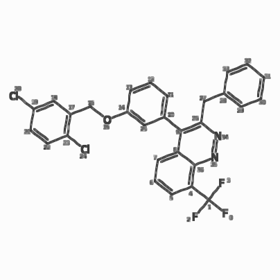 FC(F)(F)c1cccc2c(-c3cccc(OCc4cc(Cl)ccc4Cl)c3)c(Cc3ccccc3)nnc12